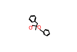 CC(C=O)(Cc1ccccc1)OCc1ccccc1